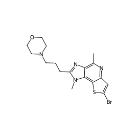 Cc1nc2cc(Br)sc2c2c1nc(CCCN1CCOCC1)n2C